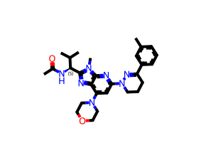 CC(=O)N[C@H](c1nc2c(N3CCOCC3)cc(N3CCCC(c4cccc(C)c4)=N3)nc2n1C)C(C)C